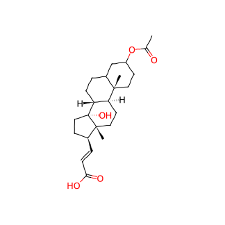 CC(=O)OC1CC[C@@]2(C)C(CC[C@@H]3[C@@H]2CC[C@]2(C)[C@@H](/C=C/C(=O)O)CC[C@@]32O)C1